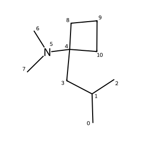 CC(C)CC1(N(C)C)CCC1